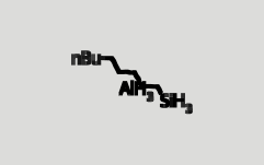 CCCCCCCCC[SiH3].[AlH3]